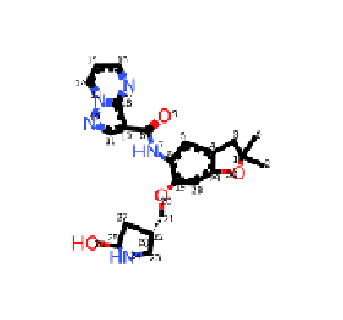 CC1(C)Cc2cc(NC(=O)c3cnn4cccnc34)c(OC[C@@H]3CNC(O)C3)cc2O1